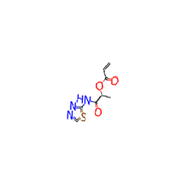 C=CC(=O)OC(C)C(=O)Nc1nncs1